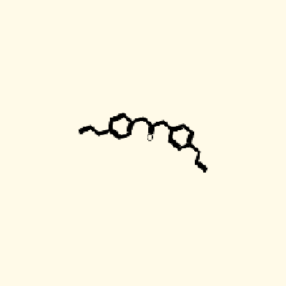 C=CCc1ccc(CC(=O)Cc2ccc(CC=C)cc2)cc1